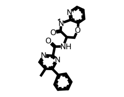 Cc1cnc(C(=O)NC2COc3cccnc3N(C)C2=O)nc1-c1ccccc1